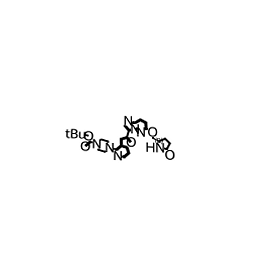 CC(C)(C)OC(=O)N1CCN(c2nccc3oc(-c4cnc5ccc(OC[C@H]6CCC(=O)N6)nn45)cc23)CC1